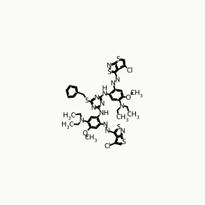 CCN(CC)c1cc(Nc2nc(Nc3cc(N(CC)CC)c(OC)cc3/N=N/c3snc4scc(Cl)c34)nc(SCc3ccccc3)n2)c(/N=N/c2snc3scc(Cl)c23)cc1OC